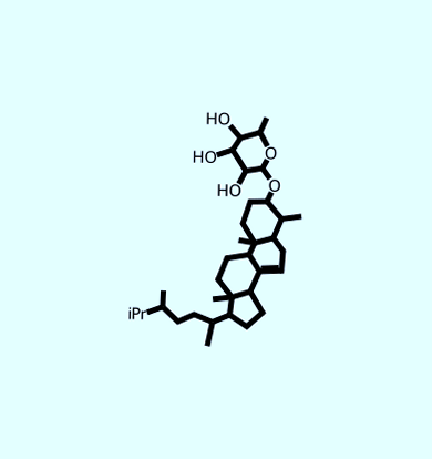 CC(C)C(C)CCC(C)C1CCC2C3=CCC4C(C)C(OC5OC(C)C(O)C(O)C5O)CCC4(C)C3CCC21C